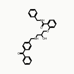 O=C(c1ccccc1)c1ccc(CNCC(O)COc2ccccc2C(=O)NCc2ccccc2)cc1